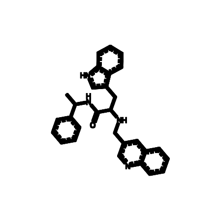 CC(NC(=O)C(Cc1c[nH]c2ccccc12)NCc1cnc2ccccc2c1)c1ccccc1